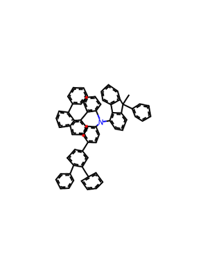 CC1(c2ccccc2)c2ccccc2-c2c(N(c3ccc(-c4ccc(-c5ccccc5)c(-c5ccccc5)c4)cc3)c3ccccc3-c3cccc4cccc(-c5ccccc5)c34)cccc21